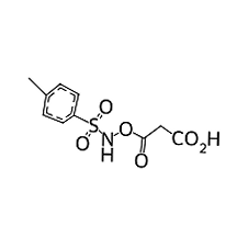 Cc1ccc(S(=O)(=O)NOC(=O)CC(=O)O)cc1